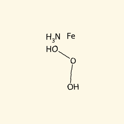 N.OOO.[Fe]